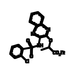 CCOC(=O)C(C)Oc1nc2ccccc2nc1NS(=O)(=O)c1ccccc1Cl